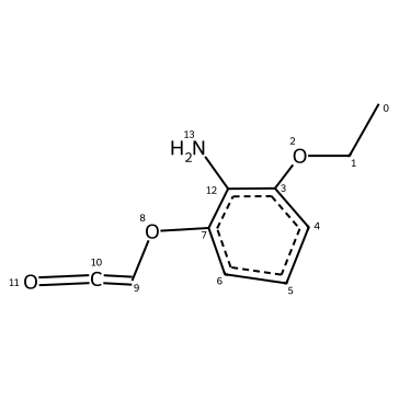 CCOc1cccc(OC=C=O)c1N